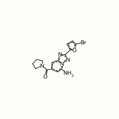 Nc1cc(C(=O)N2CCCC2)cc2nc(-c3ccc(Br)o3)nn12